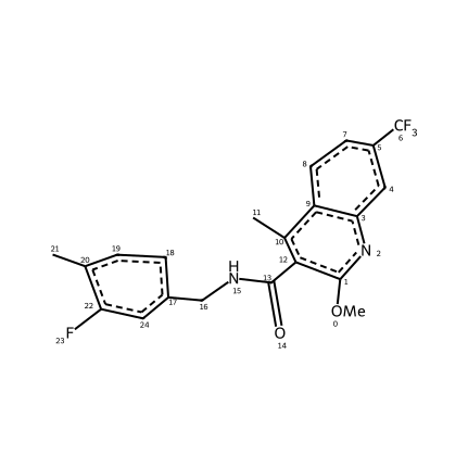 COc1nc2cc(C(F)(F)F)ccc2c(C)c1C(=O)NCc1ccc(C)c(F)c1